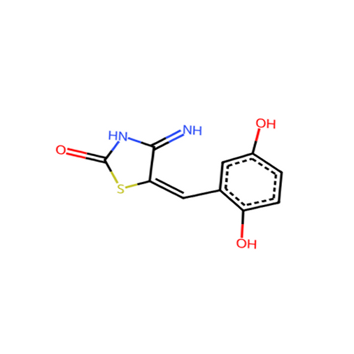 N=C1NC(=O)SC1=Cc1cc(O)ccc1O